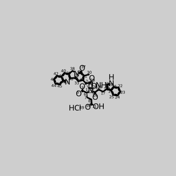 CC[C@@]1(OC(=O)[C@H](CCC(=O)O)NC(=O)[C@@H](N)Cc2c[nH]c3ccccc23)C(=O)OCc2c1cc1n(c2=O)Cc2cc3ccccc3nc2-1.Cl